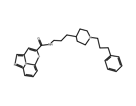 O=C(NCCCC1CCN(CCCc2ccccc2)CC1)C1=Cc2cnc3cccc(n23)S1